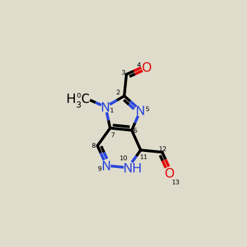 Cn1c(C=O)nc2c1C=NNC2C=O